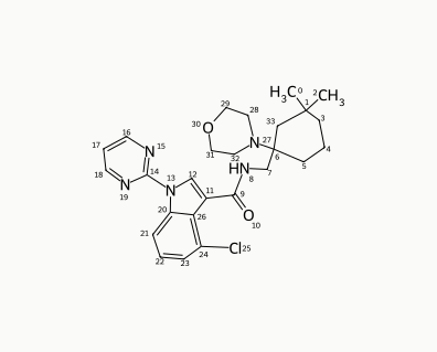 CC1(C)CCCC(CNC(=O)c2cn(-c3ncccn3)c3cccc(Cl)c23)(N2CCOCC2)C1